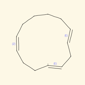 [C]1=C/C/C=C/CCCC/C=C\CC/1